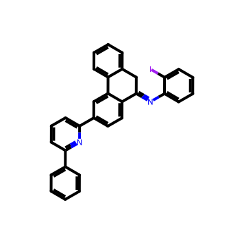 Ic1ccccc1/N=C1\Cc2ccccc2-c2cc(-c3cccc(-c4ccccc4)n3)ccc21